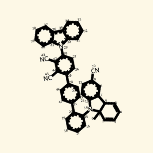 CC12C=CC=CC1c1cc(C#N)ccc1N2c1ccccc1-c1ccc(-c2ccc(-n3c4ccccc4c4ccccc43)c(C#N)c2C#N)cc1